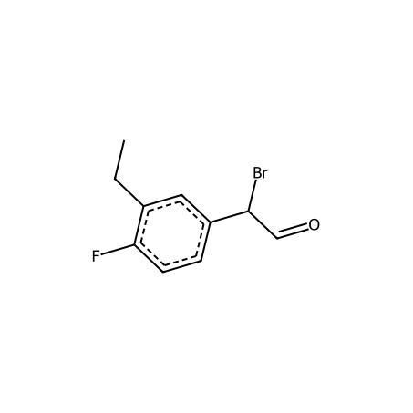 CCc1cc(C(Br)C=O)ccc1F